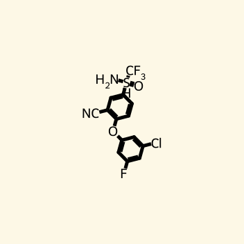 N#Cc1cc([SH](N)(=O)C(F)(F)F)ccc1Oc1cc(F)cc(Cl)c1